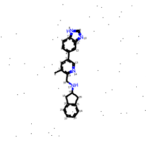 Cc1cc(-c2ccc3[nH]cnc3c2)cnc1CNC1Cc2ccccc2C1